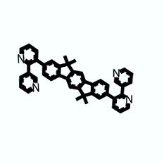 CC1(C)c2cc(-c3cccnc3-c3cccnc3)ccc2-c2cc3c(cc21)-c1ccc(-c2cccnc2-c2cccnc2)cc1C3(C)C